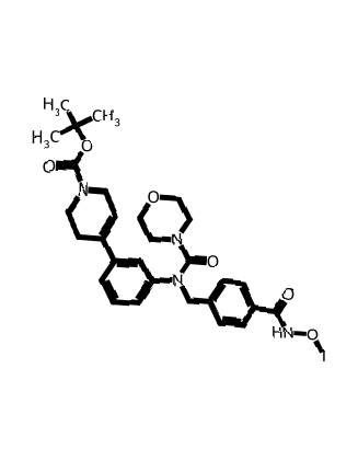 CC(C)(C)OC(=O)N1CC=C(c2cccc(N(Cc3ccc(C(=O)NOI)cc3)C(=O)N3CCOCC3)c2)CC1